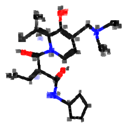 C/C=C(/C(=O)NC1CCCC1)C(=O)N1C=CC(CN(C)C)=C(O)/C1=C(\C)CC